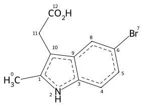 Cc1[nH]c2ccc(Br)cc2c1CC(=O)O